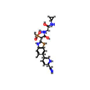 Cc1cc2nc(C(C(=O)NCC(=O)NC3CC3)S(C)(=O)=O)sc2cc1-c1ccc(C#N)nc1